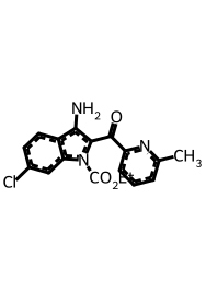 CCOC(=O)n1c(C(=O)c2cccc(C)n2)c(N)c2ccc(Cl)cc21